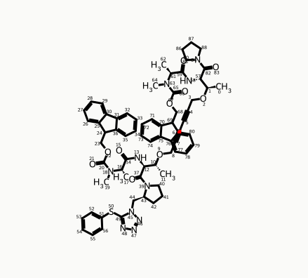 C[C@@H](OCC#CC#CCO[C@H](C)[C@H](NC(=O)[C@H](C)N(C)C(=O)OCC1c2ccccc2-c2ccccc21)C(=O)N1CCC[C@H]1Cn1nnnc1Sc1ccccc1)[C@H](NC(=O)[C@H](C)N(C)C(=O)OCC1c2ccccc2-c2ccccc21)C(=O)N1CCCC1